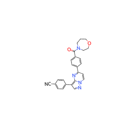 N#Cc1ccc(-c2cnn3ccc(-c4ccc(C(=O)N5CCCOCC5)cc4)nc23)cc1